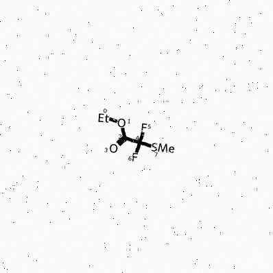 CCOC(=O)C(F)(F)SC